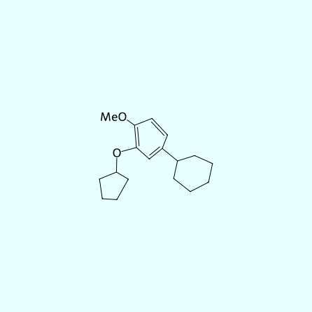 COc1ccc(C2CCCCC2)cc1OC1CCCC1